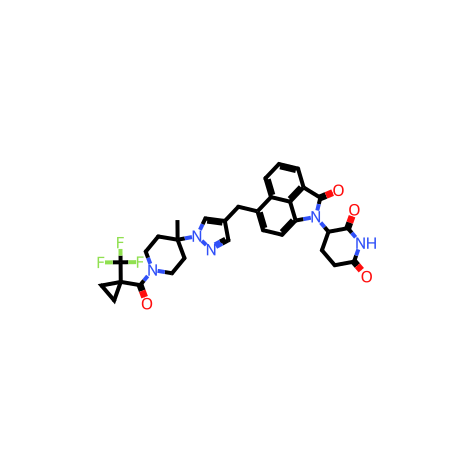 CC1(n2cc(Cc3ccc4c5c(cccc35)C(=O)N4C3CCC(=O)NC3=O)cn2)CCN(C(=O)C2(C(F)(F)F)CC2)CC1